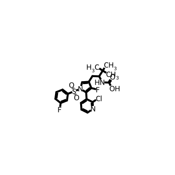 CC(C)(C)C(Cc1cn(S(=O)(=O)c2cccc(F)c2)c(-c2cccnc2Cl)c1F)NC(=O)O